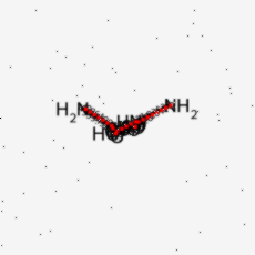 NCCCCCCCCCCCCCC(=O)NC(CCSSCCC(NC(=O)CCCCCCCCCCCCCN)C(=O)O)C(=O)O